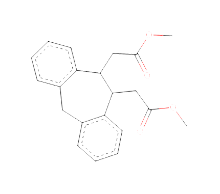 COC(=O)CC1c2ccccc2Cc2ccccc2C1CC(=O)OC